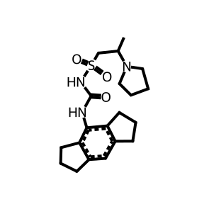 CC(CS(=O)(=O)NC(=O)Nc1c2c(cc3c1CCC3)CCC2)N1CCCC1